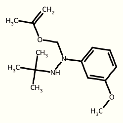 C=C(C)OCN(NC(C)(C)C)c1cccc(OC)c1